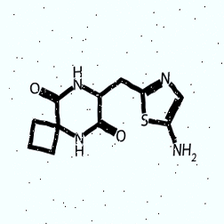 Nc1cnc(CC2NC(=O)C3(CCC3)NC2=O)s1